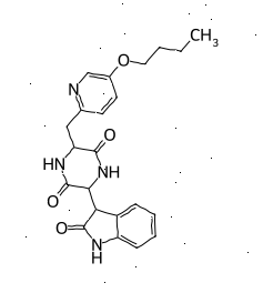 CCCCOc1ccc(CC2NC(=O)C(C3C(=O)Nc4ccccc43)NC2=O)nc1